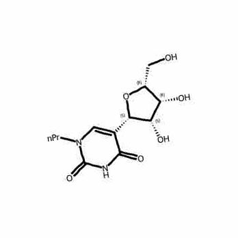 CCCn1cc([C@@H]2O[C@H](CO)[C@H](O)[C@@H]2O)c(=O)[nH]c1=O